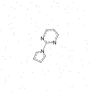 c1cnc(-n2cccc2)nc1